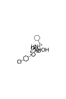 O=C(O)C1(NS(=O)(=O)c2ccc(-c3ccc(Cl)cc3)s2)CC1C1CCCCC1